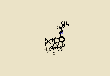 COC(=O)/C=C/c1ccc(OC)cc1CN(CC(F)(F)F)C(=O)OC(C)(C)C